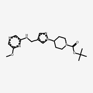 COc1cncc(NCc2cnn(C3CCN(C(=O)OC(C)(C)C)CC3)c2)n1